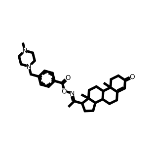 CC(=NOC(=O)c1ccc(CN2CCN(C)CC2)cc1)C1CCC2C3CCC4=CC(=O)CCC4(C)C3CCC12C